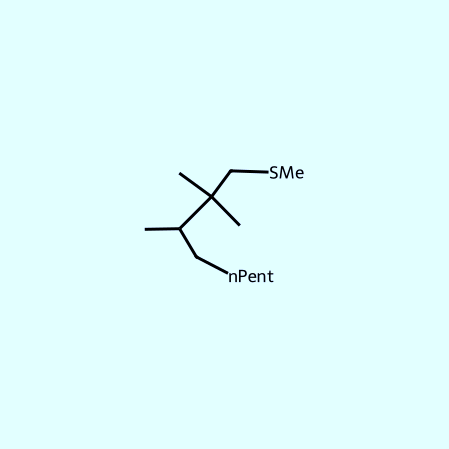 CCCCCCC(C)C(C)(C)CSC